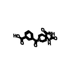 O=C1NC(=O)C2(CCN(C(=O)c3cccc(C(=O)O)c3)CC2)N1